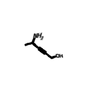 CC(N)C#CCO